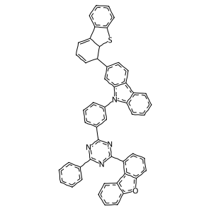 C1=CC(c2ccc3c4ccccc4n(-c4cccc(-c5nc(-c6ccccc6)nc(-c6cccc7oc8ccccc8c67)n5)c4)c3c2)C2Sc3ccccc3C2=C1